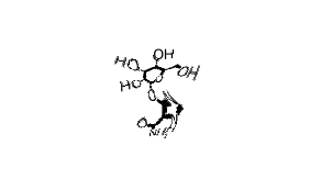 NC(=O)c1[nH]cnc1O[C@@H]1O[C@H](CO)[C@@H](O)[C@H](O)[C@@H]1O